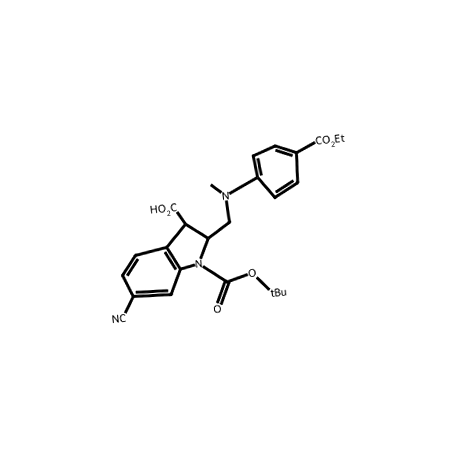 CCOC(=O)c1ccc(N(C)CC2C(C(=O)O)c3ccc(C#N)cc3N2C(=O)OC(C)(C)C)cc1